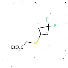 CCOC(=O)CSC1CC(F)(F)C1